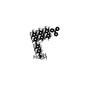 Fc1c(F)c(F)c(-c2c(F)c(F)c(F)c(F)c2F)c(F)c1F.Fc1c(F)c(F)c(-c2c(F)c(F)c(F)c(F)c2F)c(F)c1F.Fc1c(F)c(F)c(-c2c(F)c(F)c(F)c(F)c2F)c(F)c1F.Fc1c(F)c(F)c(-c2c(F)c(F)c(F)c(F)c2F)c(F)c1F.OB(O)O.c1ccc(P(c2ccccc2)c2ccccc2)cc1